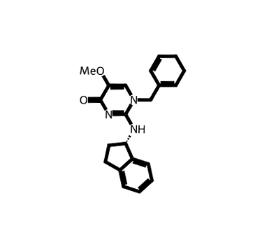 COc1cn(CC2=CCCC=C2)c(N[C@H]2CCc3ccccc32)nc1=O